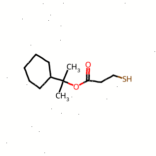 CC(C)(OC(=O)CCS)C1CCCCC1